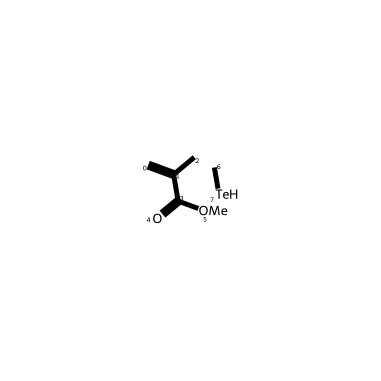 C=C(C)C(=O)OC.C[TeH]